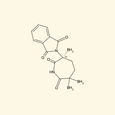 BC1(B)CC[C@](B)(N2C(=O)c3ccccc3C2=O)C(=O)NC1=O